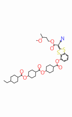 CCC1CCC(C(=O)OC2CCC(C(=O)OC3CCC(C(=O)Oc4cccc5c4S/C(=C(/C#N)C(=O)OCCC(C)OC)S5)CC3)CC2)CC1